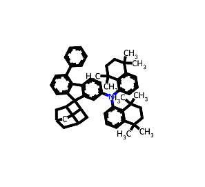 CC1(C)CCC(C)(C)c2c(N(c3ccc4c(c3)C3(c5cccc(-c6ccccc6)c5-4)C4CC5CC6CC3C64C5)c3cccc4c3C(C)(C)CCC4(C)C)cccc21